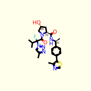 Cc1cn(C(F)(C(=O)N2C[C@H](O)C[C@H]2C(=O)N[C@@H](C)c2ccc(-c3scnc3C)cc2)C(C)C)nn1